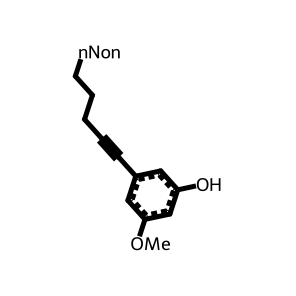 CCCCCCCCCCCCC#Cc1cc(O)cc(OC)c1